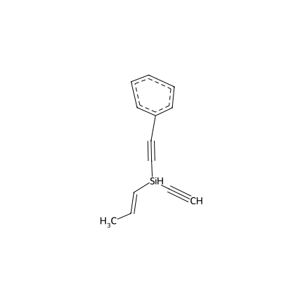 C#C[SiH](C#Cc1ccccc1)C=CC